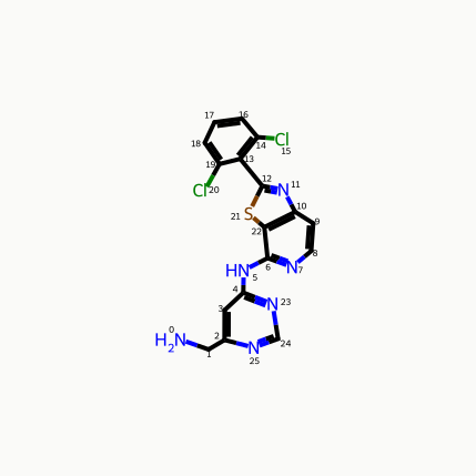 NCc1cc(Nc2nccc3nc(-c4c(Cl)cccc4Cl)sc23)ncn1